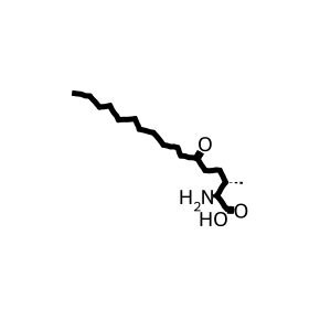 CCCCCCCCCCCC(=O)CC[C@H](C)[C@H](N)C(=O)O